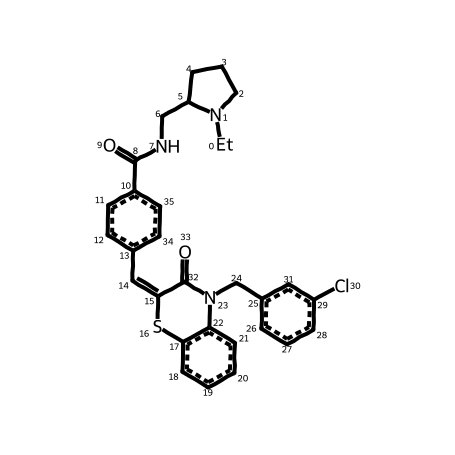 CCN1CCCC1CNC(=O)c1ccc(/C=C2/Sc3ccccc3N(Cc3cccc(Cl)c3)C2=O)cc1